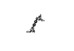 CC(C)(C)OC(=O)N1C[C@H](F)C[C@H]1c1ncc(-c2ccc(-c3ccc(-c4cnc([C@@H]5C[C@@H](F)CN5C(=O)OC(C)(C)C)s4)cc3)cc2)s1